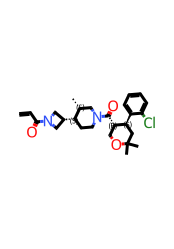 C=CC(=O)N1CC([C@H]2CCN(C(=O)[C@H]3COC(C)(C)C[C@@H]3c3ccccc3Cl)C[C@H]2C)C1